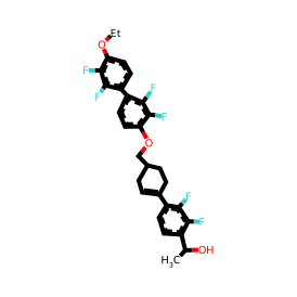 CCOc1ccc(-c2ccc(OCC3CC=C(c4ccc(C(C)O)c(F)c4F)CC3)c(F)c2F)c(F)c1F